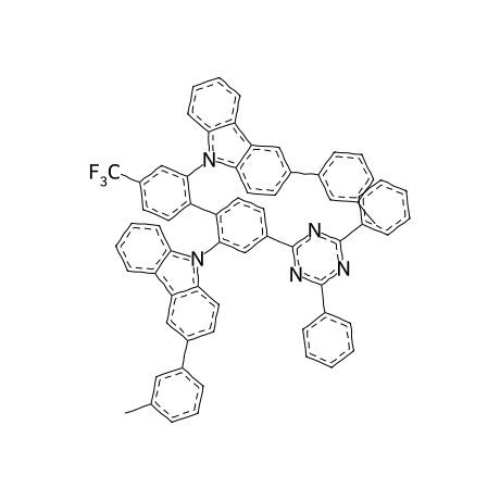 Cc1cccc(-c2ccc3c(c2)c2ccccc2n3-c2cc(-c3nc(-c4ccccc4)nc(-c4ccccc4)n3)ccc2-c2ccc(C(F)(F)F)cc2-n2c3ccccc3c3cc(-c4cccc(C)c4)ccc32)c1